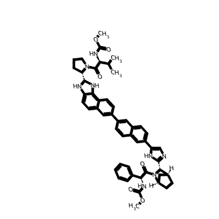 COC(=O)N[C@H](C(=O)N1CCC[C@H]1C1Nc2ccc3cc(-c4ccc5cc(-c6cnc([C@@H]7[C@H]8CC[C@H](C8)N7C(=O)[C@H](NC(=O)OC)c7ccccc7)[nH]6)ccc5c4)ccc3c2N1)C(C)C